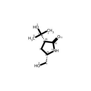 CC(C)(O)[C@H]1C[C@@H](CO)NC1=O